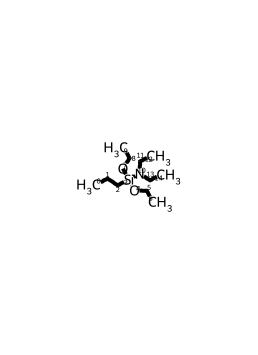 CCC[Si](OCC)(OCC)N(CC)CC